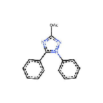 CC(=O)Oc1nc(-c2ccccc2)n(-c2ccccc2)n1